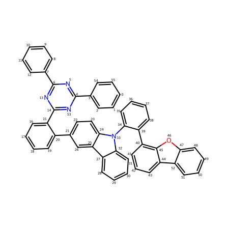 c1ccc(-c2nc(-c3ccccc3)nc(-c3ccccc3-c3ccc4c(c3)c3ccccc3n4-c3ccccc3-c3cccc4c3oc3ccccc34)n2)cc1